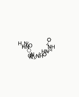 C[C@H](N)C(=O)N[C@H]1CC[C@H](c2nc(C3(CN[C@@H]4C[C@H]4c4cccc(NCC5(CN[C@@H]6C[C@H]6c6ccccc6)CC5)c4)CC3)no2)CC1